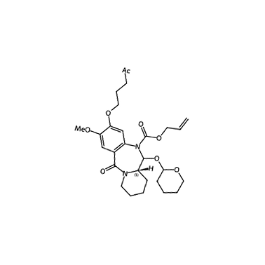 C=CCOC(=O)N1c2cc(OCCCC(C)=O)c(OC)cc2C(=O)N2CCCC[C@H]2C1OC1CCCCO1